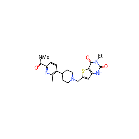 CCn1c(=O)[nH]c2cc(CN3CCC(c4ccc(C(=O)NC)nc4C)CC3)sc2c1=O